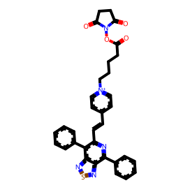 O=C(CCCC[n+]1ccc(/C=C/c2nc(-c3ccccc3)c3nsnc3c2-c2ccccc2)cc1)ON1C(=O)CCC1=O